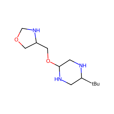 CC(C)(C)C1CNC(OCC2COCN2)CN1